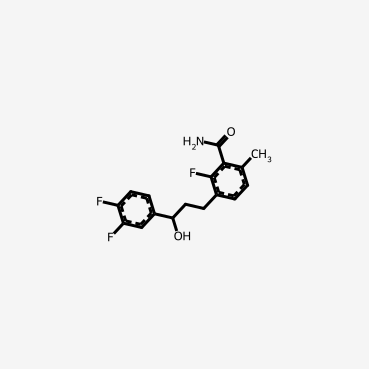 Cc1ccc(CCC(O)c2ccc(F)c(F)c2)c(F)c1C(N)=O